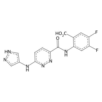 O=C(Nc1cc(F)c(F)cc1C(=O)O)c1ccc(Nc2cn[nH]c2)nn1